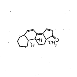 C[C@]12CC[C@H]3C(=C1C=CC2=O)C=CC1CCCC[C@@H]13